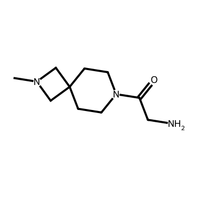 CN1CC2(CCN(C(=O)CN)CC2)C1